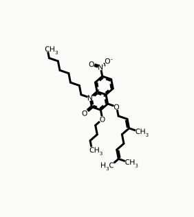 CCCCCCCCn1c(=O)c(OCCCC)c(OCC=C(C)CCC=C(C)C)c2ccc([N+](=O)[O-])cc21